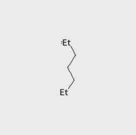 C[C]CCCCC